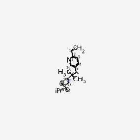 C=Cc1ccc(CC(C)(C)/C=C/S(=O)(=O)C(C)C)cn1